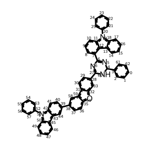 c1ccc(C2N=C(c3cccc4c3c3ccccc3n4-c3ccccc3)N=C(c3ccc4c(c3)oc3ccc(-c5ccc6c(c5)c5ccccc5n6-c5ccccc5)cc34)N2)cc1